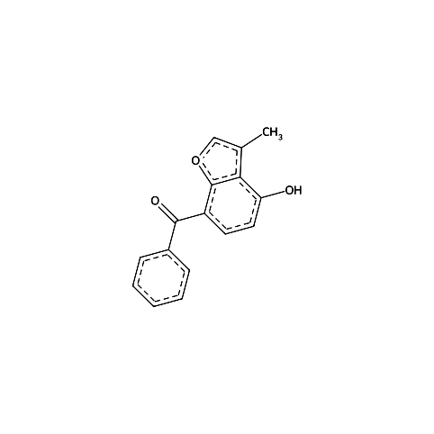 Cc1coc2c(C(=O)c3ccccc3)ccc(O)c12